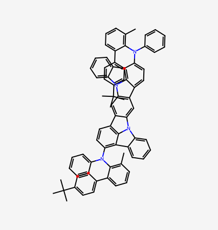 Cc1cccc(-c2ccc(C(C)(C)C)cc2)c1N(c1ccccc1)c1ccc2c3cc4c(cc3n3c5ccccc5c1c23)c1ccc(N(c2ccccc2)c2c(C)cccc2-c2ccc(C(C)(C)C)cc2)c2c3ccccc3n4c12